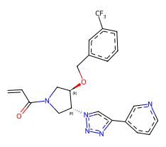 C=CC(=O)N1C[C@@H](n2cc(-c3cccnc3)nn2)[C@H](OCc2cccc(C(F)(F)F)c2)C1